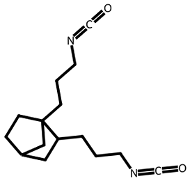 O=C=NCCCC1CC2CCC1(CCCN=C=O)C2